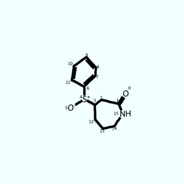 O=C1CC([S+]([O-])c2ccccc2)CCCN1